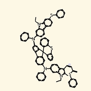 C=C(/C=C\c1c(C)n(CC)c2cc(N(c3ccccc3)c3ccc4c(c3)C3(c5ccccc5Sc5ccccc53)c3cc(N(c5ccccc5)c5ccc6c7ccc(Sc8ccccc8)cc7n(CC)c6c5)ccc3-4)ccc12)Sc1ccccc1